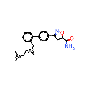 C[As](C)CC[As](C)Cc1ccccc1-c1ccc(C2=NOC(C(N)=O)C2)cc1